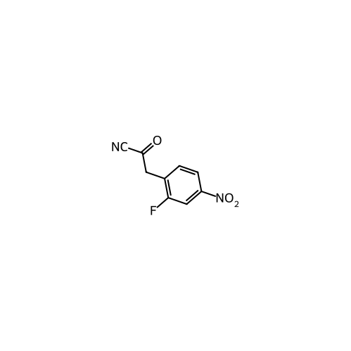 N#CC(=O)Cc1ccc([N+](=O)[O-])cc1F